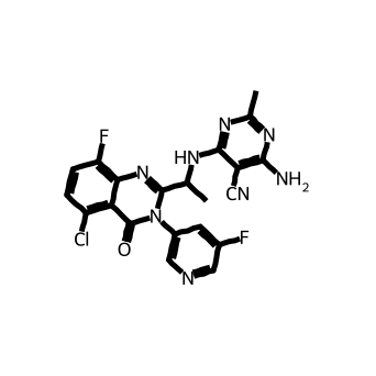 Cc1nc(N)c(C#N)c(NC(C)c2nc3c(F)ccc(Cl)c3c(=O)n2-c2cncc(F)c2)n1